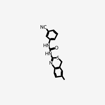 Cc1ccc2c(c1)CSC(NC(=O)Nc1cccc(C#N)c1)=N2